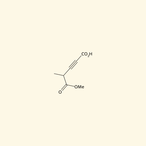 COC(=O)C(C)C#CC(=O)O